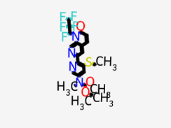 CCSc1cc(N(C)C(=O)OC(C)(C)C)cnc1-c1cc2ccc(=O)n(C(F)C(F)(F)C(F)F)c2cn1